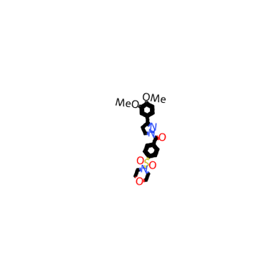 COc1ccc(C2=NN(C(=O)c3ccc(S(=O)(=O)N4CCOCC4)cc3)CC2)cc1OC